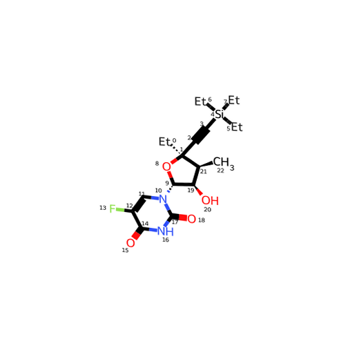 CC[C@@]1(C#C[Si](CC)(CC)CC)O[C@@H](n2cc(F)c(=O)[nH]c2=O)[C@H](O)[C@@H]1C